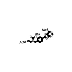 CSc1ncnc2sc(-c3ccc(CN(CCNC(C)=O)C(=O)OC(C)(C)C)cc3)nc12